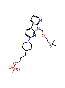 C[Si](C)(C)CCOCn1c2ncccc2c2ccc(N3CCC(CCCOS(C)(=O)=O)CC3)nc21